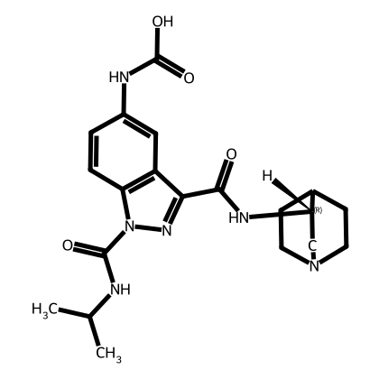 CC(C)NC(=O)n1nc(C(=O)N[C@H]2CN3CCC2CC3)c2cc(NC(=O)O)ccc21